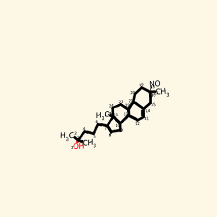 CC(C)(O)CCCC1CCC2C3CC=C4C[C@@](C)(N=O)CCC4C3CCC12C